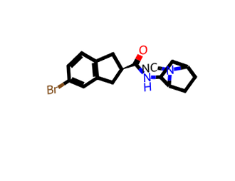 N#CN1C2CCC1C(NC(=O)[C@@H]1Cc3ccc(Br)cc3C1)C2